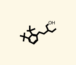 CCC(CO)CCc1cccc(C(C)(C)C)c1C(C)(C)C